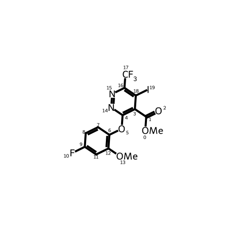 COC(=O)c1c(Oc2ccc(F)cc2OC)nnc(C(F)(F)F)c1I